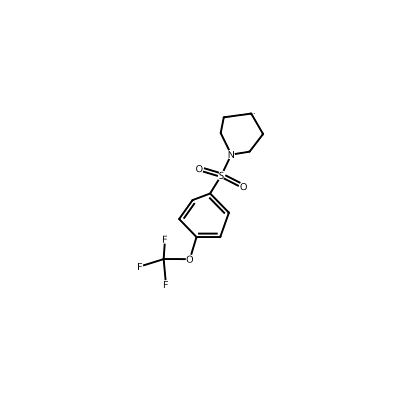 O=S(=O)(c1ccc(OC(F)(F)F)cc1)N1CC[CH]CC1